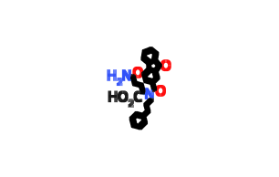 NC(=O)CC[C@@H](C(=O)O)N(CCCc1ccccc1)C(=O)c1ccc2c(c1)C(=O)c1ccccc1-2